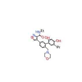 CCNC(=O)c1nocc1-c1ccc(CN2CCOCC2)c(-c2cc(C(C)C)c(O)cc2O)c1